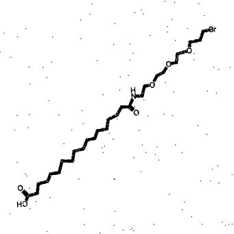 O=C(O)CCCCCCCCCCCCCCCCC(=O)NCCOCCOCCOCCCBr